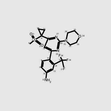 CS(=O)(=O)C1(c2cc(-c3ccc(N)cc3C(F)(F)F)nc(N3CCOCC3)n2)CC1